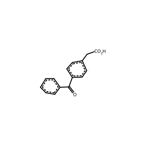 O=C(O)Cc1[c]cc(C(=O)c2ccccc2)cc1